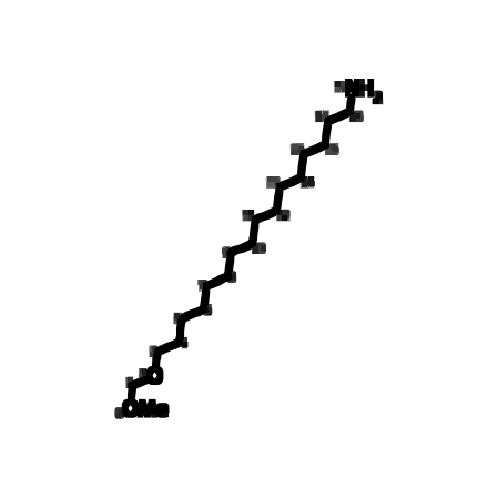 COCOCCCCCCCCCCCCCCCCN